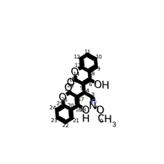 CO/N=C/C(c1c(O)c2ccccc2oc1=O)c1c(O)c2ccccc2oc1=O